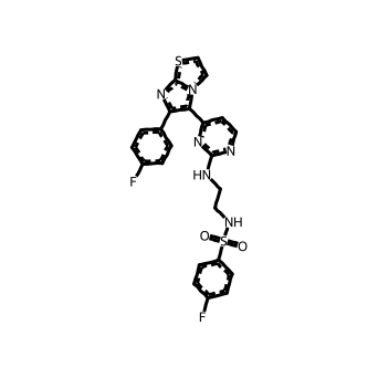 O=S(=O)(NCCNc1nccc(-c2c(-c3ccc(F)cc3)nc3sccn23)n1)c1ccc(F)cc1